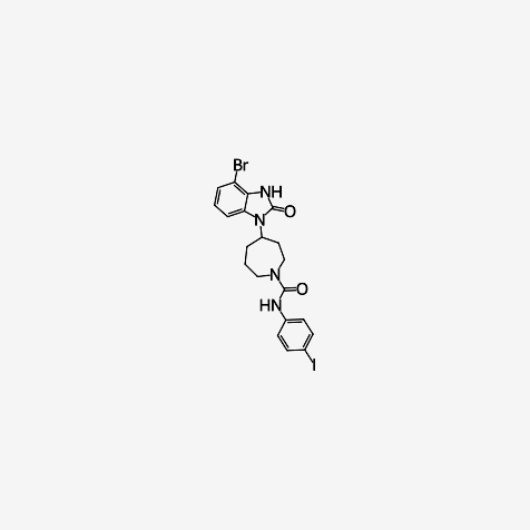 O=C(Nc1ccc(I)cc1)N1CCCC(n2c(=O)[nH]c3c(Br)cccc32)CC1